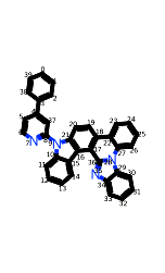 c1ccc(-c2ccnc(-n3c4ccccc4c4c5c(ccc43)c3ccccc3n3c4ccccc4nc53)c2)cc1